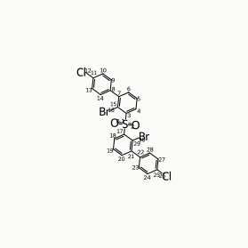 O=S(=O)(c1cccc(-c2ccc(Cl)cc2)c1Br)c1cccc(-c2ccc(Cl)cc2)c1Br